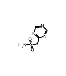 NS(=O)(=O)Cc1ncncn1